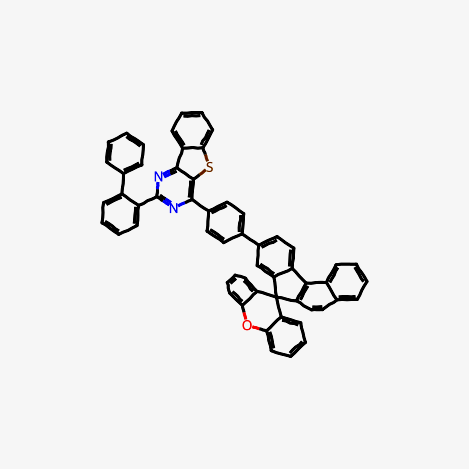 c1ccc(-c2ccccc2-c2nc(-c3ccc(-c4ccc5c(c4)C4(c6ccccc6Oc6ccccc64)c4ccc6ccccc6c4-5)cc3)c3sc4ccccc4c3n2)cc1